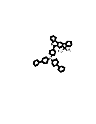 CC1(C)c2ccccc2-c2cc3c(cc21)c(-c1ccc(N(c2ccc(-c4ccccc4)cc2)c2ccc(-c4ccccc4)cc2)cc1)nc1ccccc13